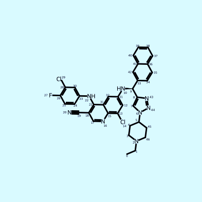 CCN1CCC(n2cc([C@@H](Nc3cc(Cl)c4ncc(C#N)c(Nc5ccc(F)c(Cl)c5)c4c3)c3ccc4ccccc4c3)nn2)CC1